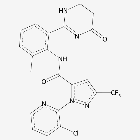 Cc1cccc(C2=NC(=O)CCN2)c1NC(=O)c1cc(C(F)(F)F)nn1-c1ncccc1Cl